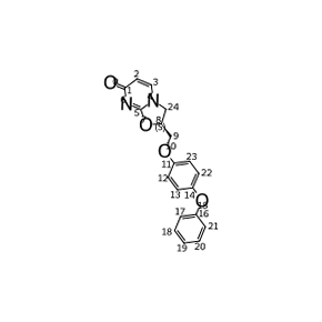 O=c1ccn2c(n1)O[C@H](COc1ccc(Oc3ccccc3)cc1)C2